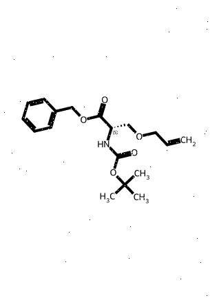 C=CCOC[C@H](NC(=O)OC(C)(C)C)C(=O)OCc1ccccc1